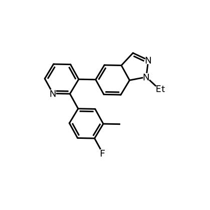 CCN1N=CC2C=C(c3cccnc3-c3ccc(F)c(C)c3)C=CC21